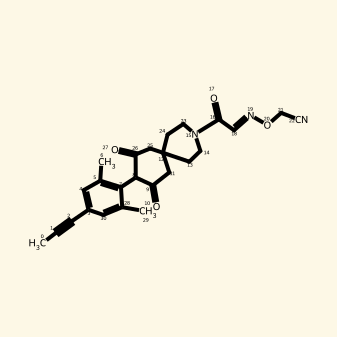 CC#Cc1cc(C)c(C2C(=O)CC3(CCN(C(=O)/C=N/OCC#N)CC3)CC2=O)c(C)c1